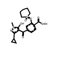 COC(=O)c1ccc(C(=O)c2c(C3CC3)nn(C)c2O)cc1N=S1(=O)CCCCC1